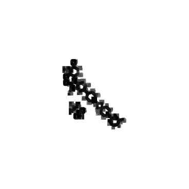 Cc1ccnc(N2CCC3(CC2)CC(N2CCC(c4ccc5c(c4)n(C)c(=O)n5C4CCC(=O)NC4=O)CC2)C3)n1.O=C(O)C(F)(F)F